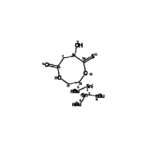 CCC[CH2][Sn].CCC[CH2][Sn][CH2]CCC.O=C1CC(O)C(=S)OCCO1